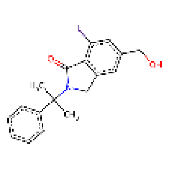 CC(C)(c1ccccc1)N1Cc2cc(CO)cc(I)c2C1=O